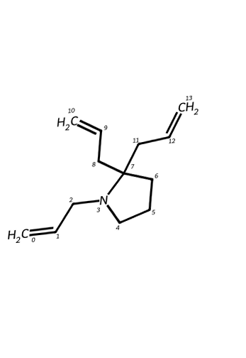 C=CCN1CCCC1(CC=C)CC=C